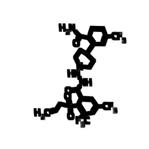 C=CCS(=O)(=O)c1c(C(=O)NNN2CCC(c3cc(C(F)(F)F)ccc3C(N)=O)CC2)cc(C(F)(F)F)cc1C(F)(F)F